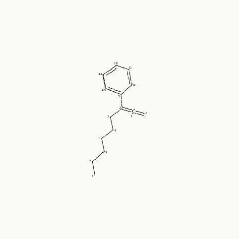 C=C=C(CCCCCC)c1ccccc1